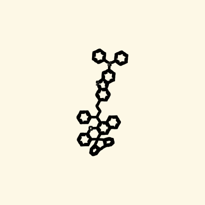 c1ccc(C(CCc2ccc3c(c2)sc2cc(N(c4ccccc4)c4ccccc4)ccc23)c2c3c(cc4ccccc24)C2(c4ccccc4O3)c3ccccc3-c3ccccc32)cc1